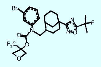 CC(C)(F)c1nc(C23CCCC(C2)C(CN(C(=O)OC2(C(F)(F)F)COC2)c2cccc(Br)c2)CC3)no1